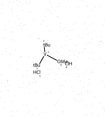 C[O][V]([C](C)(C)C)[C](C)(C)C.Cl.Cl